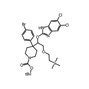 CC(C)(C)OC(=O)N1CCC(c2ccc(Br)cc2)(C(COCC[Si](C)(C)C)Oc2nc3cc(Cl)c(Cl)cc3[nH]2)CC1